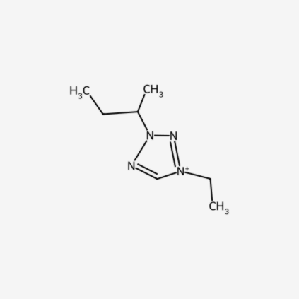 CCC(C)n1nc[n+](CC)n1